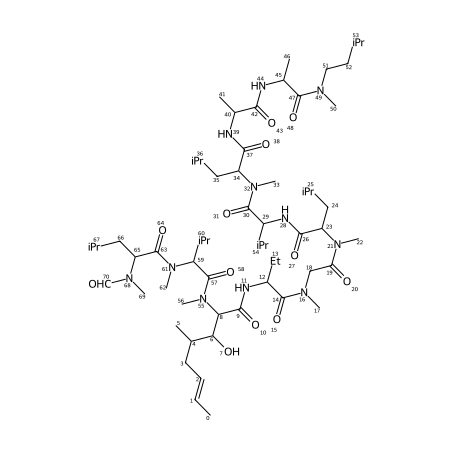 C/C=C/CC(C)C(O)C(C(=O)NC(CC)C(=O)N(C)CC(=O)N(C)C(CC(C)C)C(=O)NC(C(=O)N(C)C(CC(C)C)C(=O)NC(C)C(=O)NC(C)C(=O)N(C)CCC(C)C)C(C)C)N(C)C(=O)C(C(C)C)N(C)C(=O)C(CC(C)C)N(C)C=O